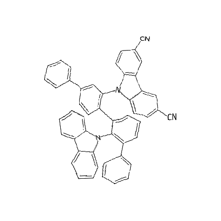 N#Cc1ccc2c(c1)c1cc(C#N)ccc1n2-c1cc(-c2ccccc2)ccc1-c1cccc(-c2ccccc2)c1-n1c2ccccc2c2ccccc21